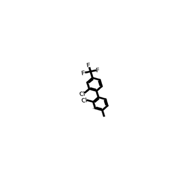 Cc1[c]c(Cl)c(-c2ccc(C(F)(F)F)cc2Cl)cc1